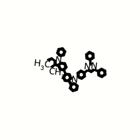 C=Cc1c(/C=C\C)n(-c2ccccc2)c2ccc(-c3ccc4c5ccccc5n(-c5ccc(-c6cc(-c7ccccc7)nc(-c7ccccc7)n6)cc5)c4c3)cc12